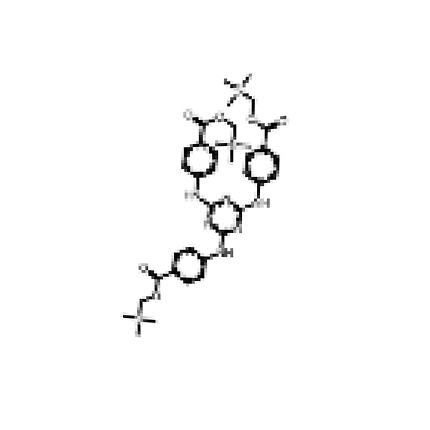 C[Si](C)(C)COC(=O)c1ccc(Nc2nc(Nc3ccc(C(=O)OC[Si](C)(C)C)cc3)nc(Nc3ccc(C(=O)OC[Si](C)(C)C)cc3)n2)cc1